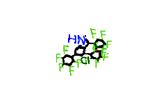 Fc1c(F)c(F)c(-c2cc3[nH][c]c(-c4c(F)c(F)c(F)c(F)c4F)c3c(-c3c(F)c(F)c(F)c(F)c3F)c2Cl)c(F)c1F